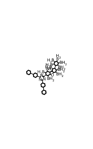 Bc1c(B)c(B)c(-c2c(B)c(B)c3oc4c(B)c(-c5nc(-c6ccc(-c7ccccc7)cc6)nc(-c6ccc(-c7ccccc7)cc6)n5)c(B)c(B)c4c3c2B)c(B)c1B